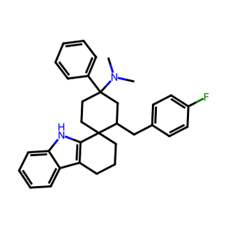 CN(C)C1(c2ccccc2)CCC2(CCCc3c2[nH]c2ccccc32)C(Cc2ccc(F)cc2)C1